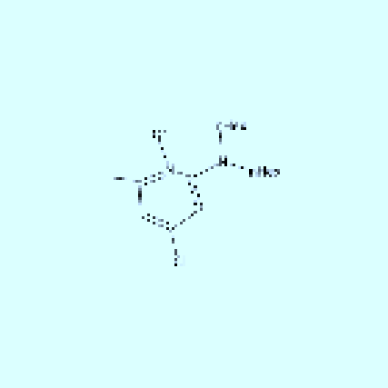 CCCCCCN(CCCCCC)c1cc(Cl)cc(C)[n+]1[O-]